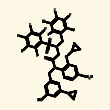 CC(C)(C)c1cc(CN(C(=O)CN(Cc2c(F)c(F)c(F)c(F)c2F)S(=O)(=O)c2c(F)c(F)c(F)c(F)c2F)c2ccc(C(=O)O)cc2OC2CC2)cc(C2CC2)c1